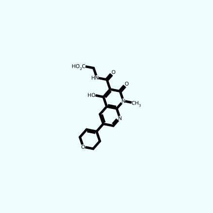 Cn1c(=O)c(C(=O)NCC(=O)O)c(O)c2cc(C3=CCOCC3)cnc21